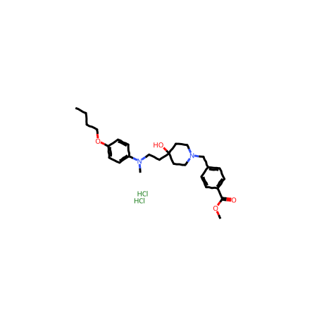 CCCCOc1ccc(N(C)CCC2(O)CCN(Cc3ccc(C(=O)OC)cc3)CC2)cc1.Cl.Cl